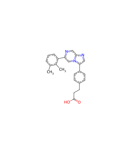 Cc1cccc(-c2cn3c(-c4ccc(CCC(=O)O)cc4)cnc3cn2)c1C